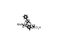 CNC(=O)[N+](C)(Cc1cc(C)c(OC(C)(C)C(=O)O)c(C)c1)Cc1nc(-c2ccccc2)oc1C